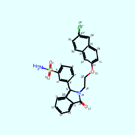 NS(=O)(=O)c1cccc(C2c3ccccc3C(=O)N2CCOc2ccc3cc(Br)ccc3c2)c1